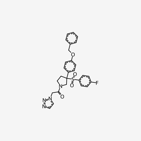 O=C(Cn1ccnn1)N1CCC(c2ccc(OCc3ccccc3)cc2)(S(=O)(=O)c2ccc(F)cc2)C1